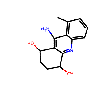 Cc1cccc2nc3c(c(N)c12)C(O)CCC3O